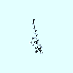 FCCCCCCC(F)C[SiH2]CC[Si](F)(F)F